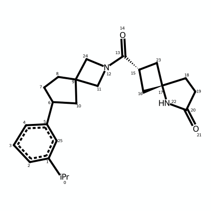 CC(C)c1cccc(C2CCC3(C2)CN(C(=O)[C@H]2C[C@]4(CCC(=O)N4)C2)C3)c1